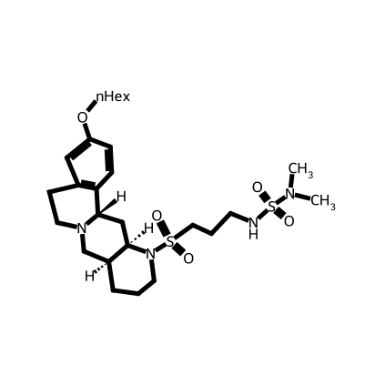 CCCCCCOc1ccc2c(c1)CCN1C[C@@H]3CCCN(S(=O)(=O)CCCNS(=O)(=O)N(C)C)[C@@H]3C[C@@H]21